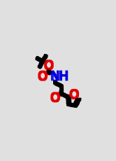 CC(C)(C)OC(=O)NCCC(=O)c1ccco1